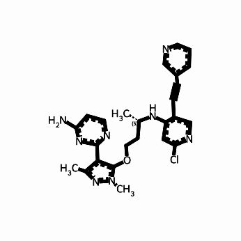 Cc1nn(C)c(OCC[C@H](C)Nc2cc(Cl)ncc2C#Cc2cccnc2)c1-c1nccc(N)n1